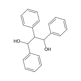 OC(c1ccccc1)C(c1ccccc1)C(O)c1ccccc1